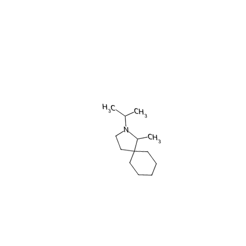 CC(C)N1CCC2(CCCCC2)C1C